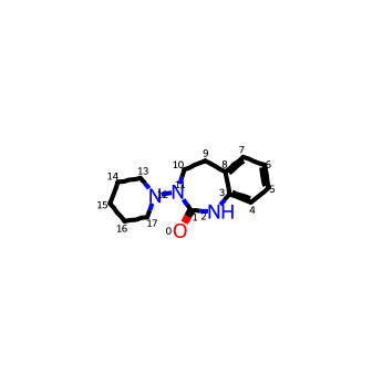 O=C1Nc2ccccc2CCN1N1CCCCC1